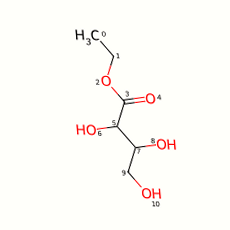 CCOC(=O)C(O)C(O)CO